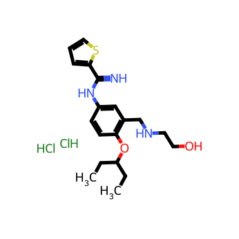 CCC(CC)Oc1ccc(NC(=N)c2cccs2)cc1CNCCO.Cl.Cl